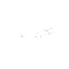 Cc1ccn2cc(-c3ccc(CCCCN4CCCCCC4)cc3)nc2c1